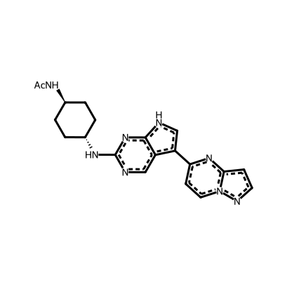 CC(=O)N[C@H]1CC[C@H](Nc2ncc3c(-c4ccn5nccc5n4)c[nH]c3n2)CC1